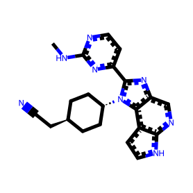 CNc1nccc(-c2nc3cnc4[nH]ccc4c3n2[C@H]2CC[C@H](CC#N)CC2)n1